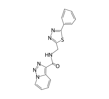 O=C(NCc1nnc(-c2ccccc2)s1)c1nnn2ccccc12